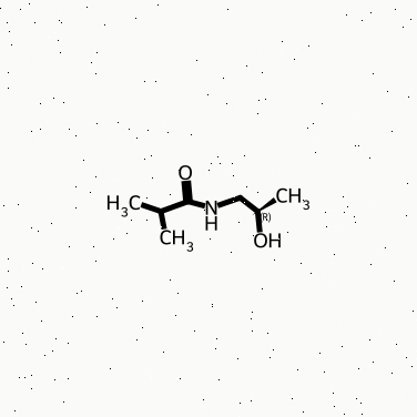 CC(C)C(=O)NC[C@@H](C)O